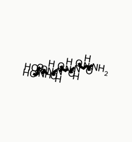 NCC(=O)NCC(=O)NCC(=O)NCC(=O)NCC(=O)NCC(=O)NC(CO)C(=O)O